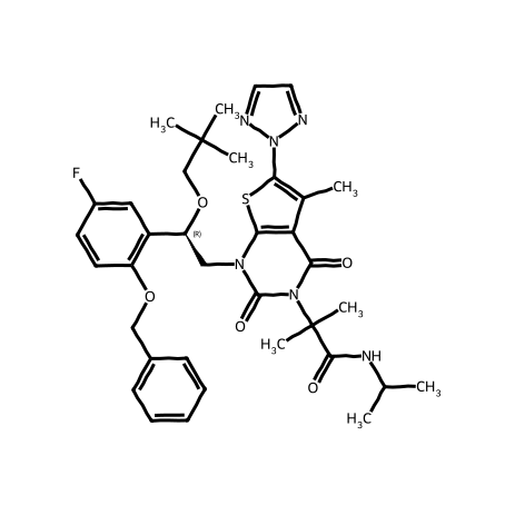 Cc1c(-n2nccn2)sc2c1c(=O)n(C(C)(C)C(=O)NC(C)C)c(=O)n2C[C@H](OCC(C)(C)C)c1cc(F)ccc1OCc1ccccc1